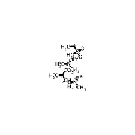 C=C(C)C(=O)O.CCCN(C)C.CCCN(C)C.CCS(=O)(=O)O